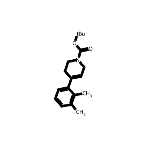 Cc1cccc(C2=CCN(C(=O)OC(C)(C)C)CC2)c1C